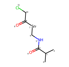 CC(C)C(=O)N[CH2][Sn][C](=O)CCl